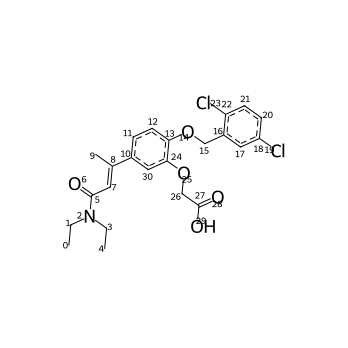 CCN(CC)C(=O)C=C(C)c1ccc(OCc2cc(Cl)ccc2Cl)c(OCC(=O)O)c1